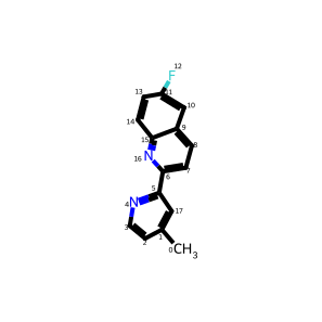 Cc1ccnc(-c2ccc3cc(F)ccc3n2)c1